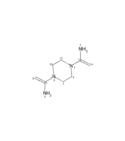 C=C(N)N1CCN(C(=C)N)CC1